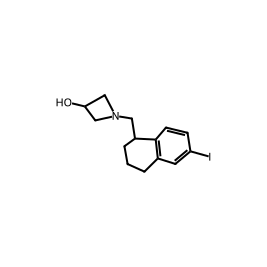 OC1CN(CC2CCCc3cc(I)ccc32)C1